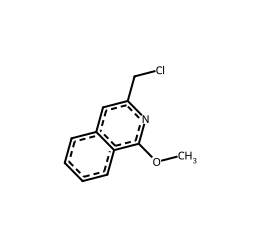 COc1nc(CCl)cc2ccccc12